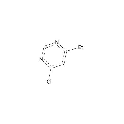 C[CH]c1cc(Cl)ncn1